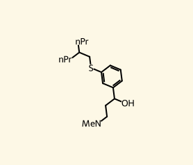 CCCC(CCC)CSc1cccc(C(O)CCNC)c1